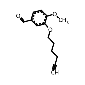 C#CCCCCOc1cc(C=O)ccc1OC